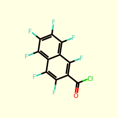 O=C(Cl)c1c(F)c(F)c2c(F)c(F)c(F)c(F)c2c1F